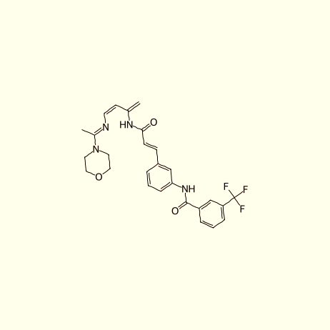 C=C(/C=C\N=C(/C)N1CCOCC1)NC(=O)/C=C/c1cccc(NC(=O)c2cccc(C(F)(F)F)c2)c1